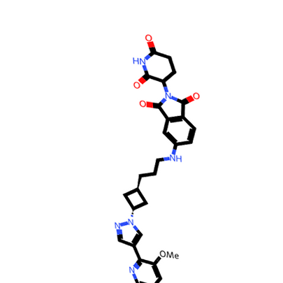 COc1cccnc1-c1cnn([C@H]2C[C@H](CCCNc3ccc4c(c3)C(=O)N(C3CCC(=O)NC3=O)C4=O)C2)c1